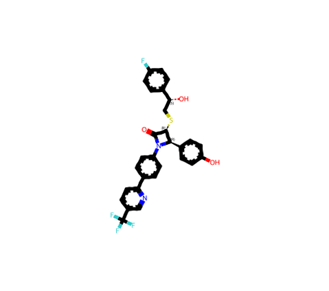 O=C1[C@H](SC[C@@H](O)c2ccc(F)cc2)[C@@H](c2ccc(O)cc2)N1c1ccc(-c2ccc(C(F)(F)F)cn2)cc1